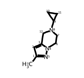 Cc1cc2n(n1)CCN(C1CC1)C2